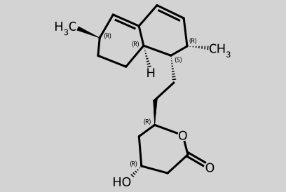 C[C@H]1C=C2C=C[C@H](C)[C@H](CC[C@@H]3C[C@@H](O)CC(=O)O3)[C@H]2CC1